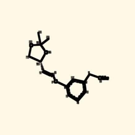 COCc1cccc(ON=C[C@@H]2COC(C)(C)O2)c1